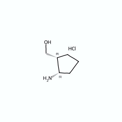 Cl.N[C@H]1CCC[C@H]1CO